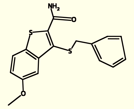 COc1ccc2sc(C(N)=O)c(SCc3ccccc3)c2c1